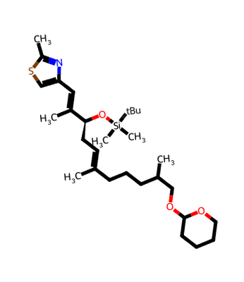 CC(=CC[C@H](O[Si](C)(C)C(C)(C)C)/C(C)=C/c1csc(C)n1)CCCC(C)COC1CCCCO1